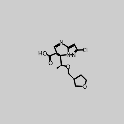 C[C@H](OC[C@H]1CCOC1)c1c(C(=O)O)cnc2cc(Cl)nn12